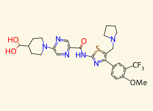 COc1ccc(-c2nc(NC(=O)c3cnc(N4CCC(C(O)O)CC4)cn3)sc2CN2CCCC2)cc1C(F)(F)F